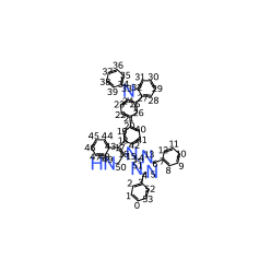 c1ccc(-c2nc(-c3ccccc3)nc(-n3c4c(c5cc(-c6ccc7c(c6)c6ccccc6n7-c6ccccc6)ccc53)-c3ccccc3NC4)n2)cc1